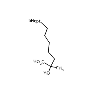 CCCCCCCCCCCCC(C)(O)C(=O)O